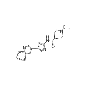 CN1CCC(C(=O)Nc2ncc(-c3cnc4cnccc4c3)s2)CC1